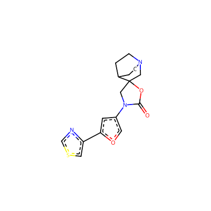 O=C1OC2(CN3CCC2CC3)CN1c1coc(-c2cscn2)c1